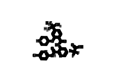 CC(C)(C)c1ccc(C(=O)Nc2cccnc2C(=O)Nc2ccc(Cl)cn2)c(OC2CCNCC2)c1.O=C(O)C(F)(F)F